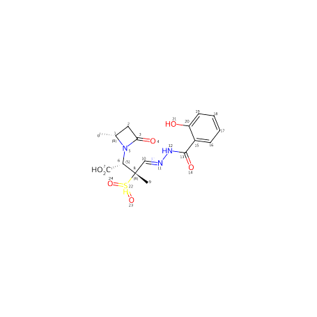 C[C@@H]1CC(=O)N1[C@@H](C(=O)O)[C@](C)(/C=N/NC(=O)c1ccccc1O)[SH](=O)=O